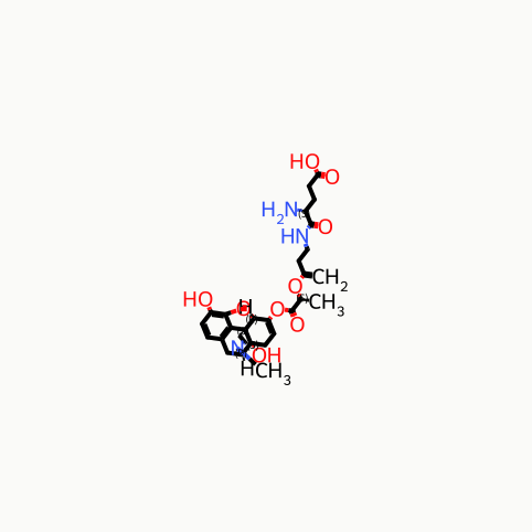 C=C(CCNC(=O)[C@@H](N)CCC(=O)O)O[C@@H](C)C(=O)OC1=CC[C@@]2(O)[C@H]3Cc4ccc(O)c5c4[C@@]2(CCN3C)[C@H]1O5